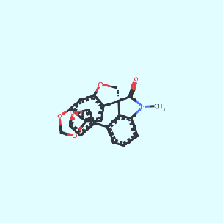 CN1C(=O)[C@@]2(COc3cc4c(cc32)OCO4)c2c(-c3ccoc3)cccc21